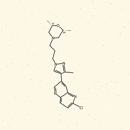 Cc1nn(CCCN2C[C@@H](C)O[C@@H](C)C2)cc1-c1cnc2ccc(Cl)nc2c1